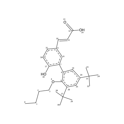 CCCCOc1c(-c2cc(C=CC(=O)O)ccc2O)cc(C(C)(C)C)cc1C(C)(C)C